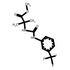 COC(=O)C(C)(C)NC(=O)Nc1cccc(C(F)(F)F)c1